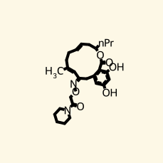 CCCC1C/C=C/CC/C(C)=C/C(=NOCC(=O)N2CCCCC2)Cc2cc(O)cc(O)c2C(=O)O1